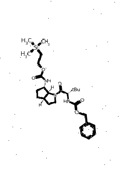 CC(C)(C)[C@H](NC(=O)OCc1ccccc1)C(=O)N1CC[C@H]2CC[C@H](NC(=O)OCC[Si](C)(C)C)[C@H]21